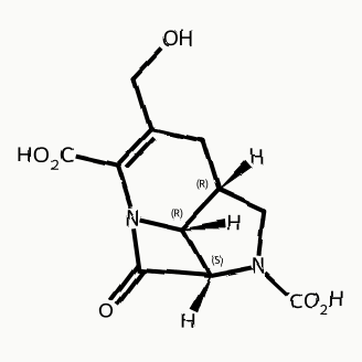 O=C(O)C1=C(CO)C[C@@H]2CN(C(=O)O)[C@@H]3C(=O)N1[C@H]23